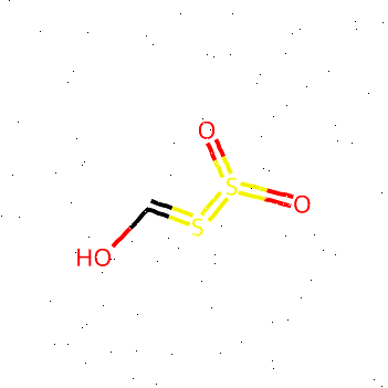 O=S(=O)=S=CO